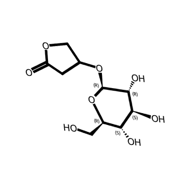 O=C1CC(O[C@@H]2O[C@H](CO)[C@@H](O)[C@H](O)[C@H]2O)CO1